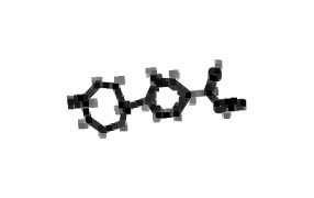 COC(=O)c1ccc(N2CCCNCC2)nc1